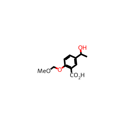 COCOc1ccc(C(C)O)cc1C(=O)O